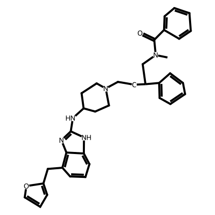 CN(CC(CCN1CCC(Nc2nc3c(Cc4ccco4)cccc3[nH]2)CC1)c1ccccc1)C(=O)c1ccccc1